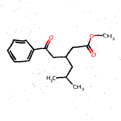 COC(=O)CC(CC(=O)c1ccccc1)CC(C)C